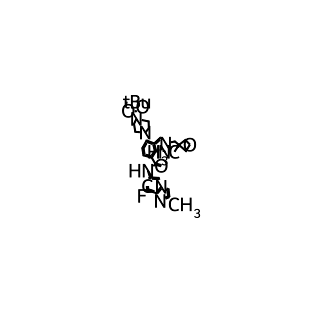 Cc1cn2cc(NC(=O)c3ccc(N4CCN(C(=O)OC(C)(C)C)CC4)c4cn(CC5(C)COC5)nc34)cc(F)c2n1